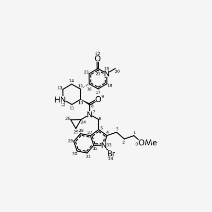 COCCCc1c(CN(C(=O)[C@H]2CNCC[C@@H]2c2ccn(C)c(=O)c2)C2CC2)c2ccccc2n1Br